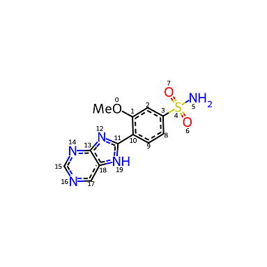 COc1cc(S(N)(=O)=O)ccc1-c1nc2ncncc2[nH]1